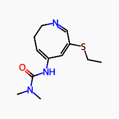 CCSC1=C/C(NC(=O)N(C)C)=C\CC/N=C\1